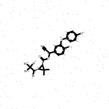 CC1(C)[C@H](C(=O)OC(C#N)c2ccc(F)c(Oc3ccc(Cl)cc3)c2)[C@@H]1C(Br)C(Br)(Br)Br